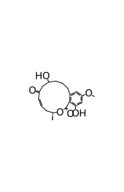 COc1cc(O)c2c(c1)CCC[C@H](O)CC(=O)/C=C\C[C@H](C)OC2=O